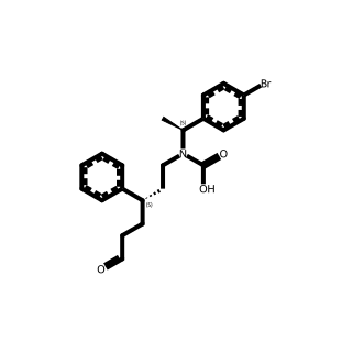 C[C@@H](c1ccc(Br)cc1)N(CC[C@H](CCC=O)c1ccccc1)C(=O)O